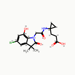 CC1(C)C(=O)N(CC(=O)NC2(CCC(=O)O)CC2)c2c(O)cc(Br)cc21